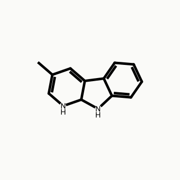 CC1=CNC2Nc3ccccc3C2=C1